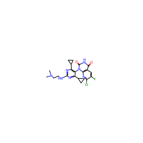 CN(C)CCNc1nc(C2CC2)c(-n2c(=O)[nH]c(=O)c3cc(F)c(Cl)nc32)c(C2CC2)n1